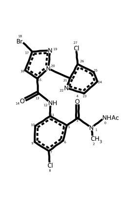 CC(=O)NN(C)C(=O)c1cc(Cl)ccc1NC(=O)c1cc(Br)nn1-c1ncccc1Cl